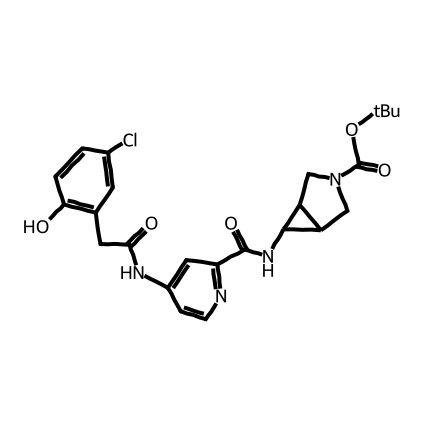 CC(C)(C)OC(=O)N1CC2C(C1)C2NC(=O)c1cc(NC(=O)Cc2cc(Cl)ccc2O)ccn1